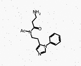 CC(=O)N(CCc1cncn1-c1ccccc1)C(=O)CCN